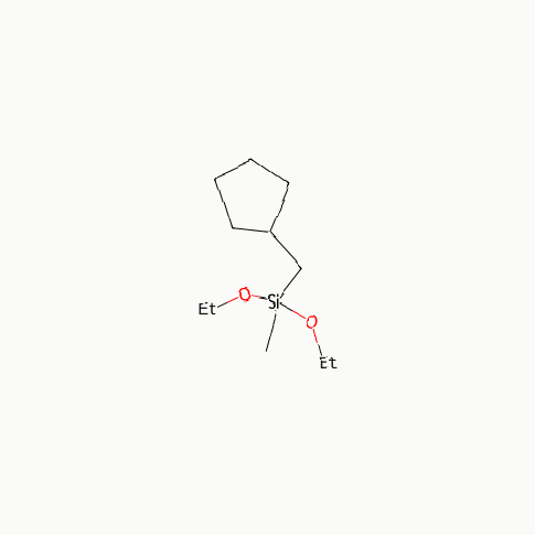 CCO[Si](C)(CC1CCCC1)OCC